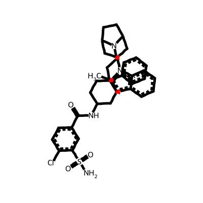 Cc1nc2ccccc2n1C1CC2CCC(C1)N2CCC1(c2ccccc2)CCC(NC(=O)c2ccc(Cl)c(S(N)(=O)=O)c2)CC1